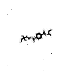 CCC(C)OC(=O)c1ccc(C(=O)OCCC(C)(C)CC)cc1